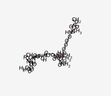 C=Cc1ccccc1CN(C(=O)CCC(=O)NCCOCCOCCOCCOCCC(=O)N[C@H](C(=O)N[C@@H](CCCNC(N)=O)C(=O)Nc1ccc(COC(=O)NCC(=O)NCOCC(=O)N[C@H]2CCc3c(C)c(F)cc4nc5c(c2c34)Cn2c-5cc3c(c2=O)COC(=O)[C@]3(O)CC)cc1)C(C)C)c1ccccc1CC